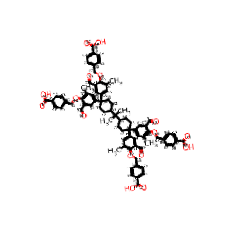 Cc1cc(C2(c3cc(C)c(OCc4ccc(C(=O)O)cc4)c(C=O)c3)CCC(C(C)(C)C3CCC(c4cc(C)c(OCc5ccc(C(=O)O)cc5)c(C=O)c4)(c4cc(C)c(OCc5ccc(C(=O)O)cc5)c(C=O)c4)CC3)CC2)cc(C=O)c1OCc1ccc(C(=O)O)cc1